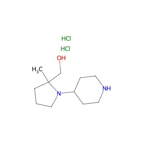 CC1(CO)CCCN1C1CCNCC1.Cl.Cl